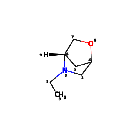 CCN1CC2C[C@H]1CO2